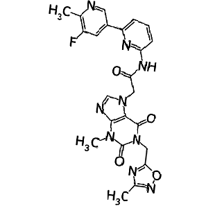 Cc1noc(Cn2c(=O)c3c(ncn3CC(=O)Nc3cccc(-c4cnc(C)c(F)c4)n3)n(C)c2=O)n1